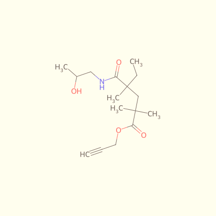 C#CCOC(=O)C(C)(C)CC(C)(CC)C(=O)NCC(C)O